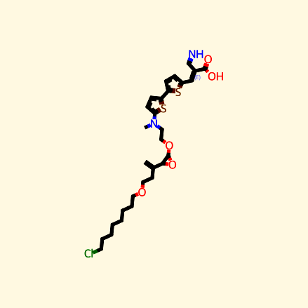 C=C(CCOCCCCCCCCCl)C1OC1OCCN(C)c1ccc(-c2ccc(/C=C(\C=N)C(=O)O)s2)s1